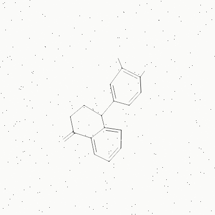 Cc1ccc(C2CCC(=O)c3ccccc32)cc1Cl